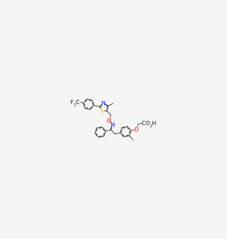 Cc1cc(CC(=NOCc2sc(-c3ccc(C(F)(F)F)cc3)nc2C)c2ccccc2)ccc1OCC(=O)O